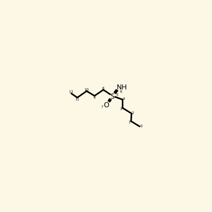 CCCCCS(=N)(=O)CCCCC